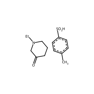 CCN1CCCC(=O)C1.Cc1ccc(S(=O)(=O)O)cc1